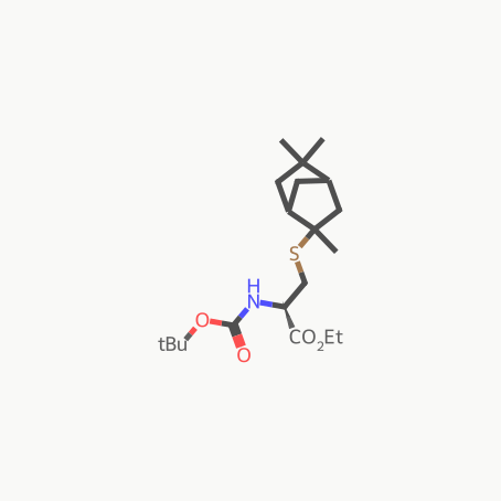 CCOC(=O)[C@H](CSC1(C)CC2CC1CC2(C)C)NC(=O)OC(C)(C)C